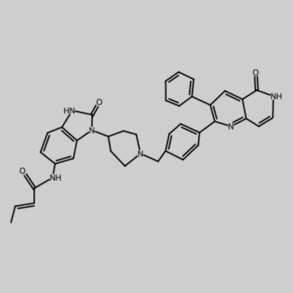 C/C=C/C(=O)Nc1ccc2[nH]c(=O)n(C3CCN(Cc4ccc(-c5nc6cc[nH]c(=O)c6cc5-c5ccccc5)cc4)CC3)c2c1